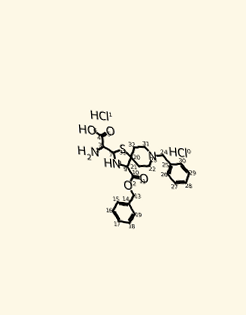 Cl.Cl.NC(C(=O)O)C1NC(C(=O)OCc2ccccc2)C2(CCN(Cc3ccccc3)CC2)S1